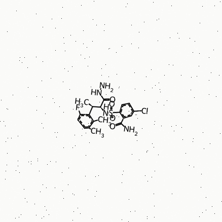 Cc1ccc(F)c([C@@H](C)[C@H](NS(=O)(=O)c2ccc(Cl)cc2C(N)=O)C(=O)NN)c1C